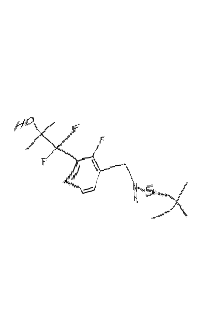 CC(C)(C)SNCc1cccc(C(F)(F)C(C)(C)O)c1F